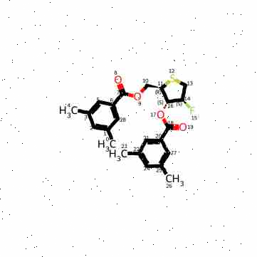 Cc1cc(C)cc(C(=O)OC[C@H]2SC[C@@H](F)[C@@H]2OC(=O)c2cc(C)cc(C)c2)c1